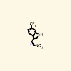 O=[N+]([O-])/C=C\c1c[nH]c2cc(C(F)(F)F)ccc12